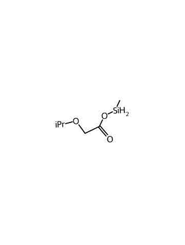 C[SiH2]OC(=O)COC(C)C